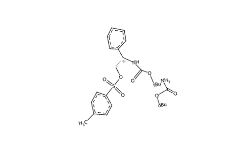 CCCCOC(N)=O.Cc1ccc(S(=O)(=O)OC[C@@H](NC(=O)OC(C)(C)C)c2ccccc2)cc1